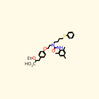 CCOC(Cc1ccc(OCCN(CCCCSc2ccccc2)C(=O)Nc2c(C)cc(C)cc2C)cc1)C(=O)O